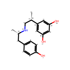 C[C@@H](Cc1ccc(O)cc1)NC[C@H](C)c1cc(O)cc(O)c1